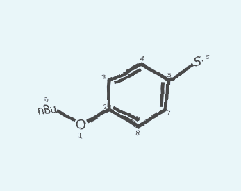 CCCCOc1ccc([S])cc1